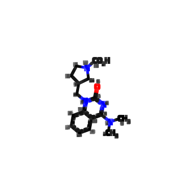 CN(C)c1nc(=O)n(CC2CCN(C(=O)O)C2)c2ccccc12